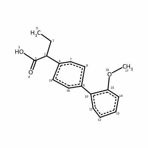 CCC(C(=O)O)c1ccc(-c2ccccc2OC)cc1